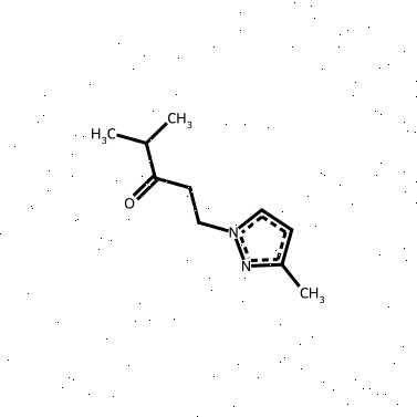 Cc1ccn(CCC(=O)C(C)C)n1